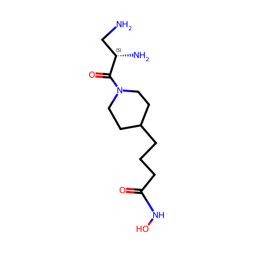 NC[C@H](N)C(=O)N1CCC(CCCC(=O)NO)CC1